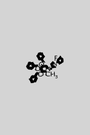 C[C@@H]1[C@@H](OCc2ccccc2)[C@H](OCc2ccccc2)[C@@H](OCc2ccccc2)CN1C[C@H]1CCN(c2ccccc2F)C1